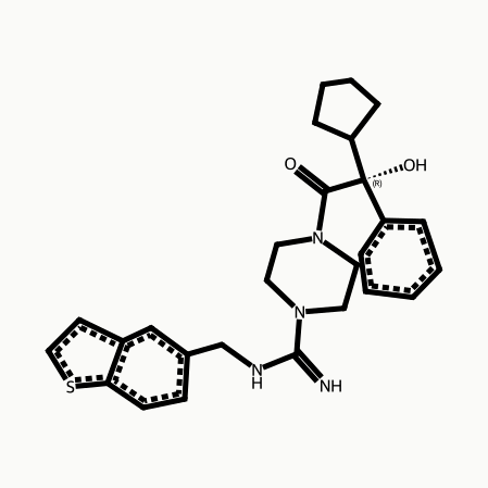 N=C(NCc1ccc2sccc2c1)N1CCN(C(=O)[C@](O)(c2ccccc2)C2CCCC2)CC1